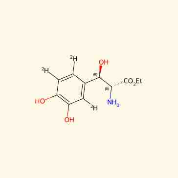 [2H]c1c([2H])c([C@@H](O)[C@@H](N)C(=O)OCC)c([2H])c(O)c1O